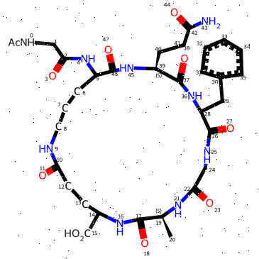 CC(=O)NCC(=O)NC1CCCNC(=O)CCC(C(=O)O)NC(=O)[C@H](C)NC(=O)CNC(=O)C(Cc2ccccc2)NC(=O)[C@H](CCC(N)=O)NC1=O